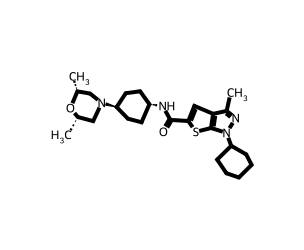 Cc1nn(C2CCCCC2)c2sc(C(=O)N[C@H]3CC[C@H](N4C[C@@H](C)O[C@@H](C)C4)CC3)cc12